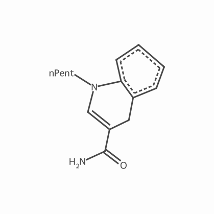 CCCCCN1C=C(C(N)=O)Cc2ccccc21